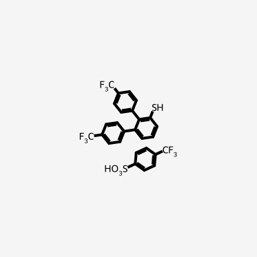 FC(F)(F)c1ccc(-c2cccc(S)c2-c2ccc(C(F)(F)F)cc2)cc1.O=S(=O)(O)c1ccc(C(F)(F)F)cc1